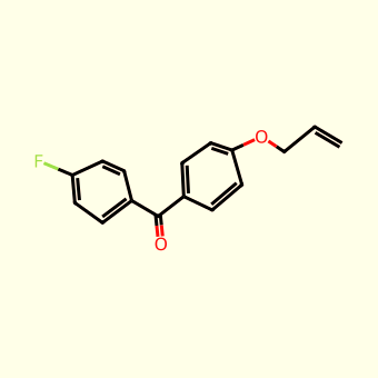 C=CCOc1ccc(C(=O)c2ccc(F)cc2)cc1